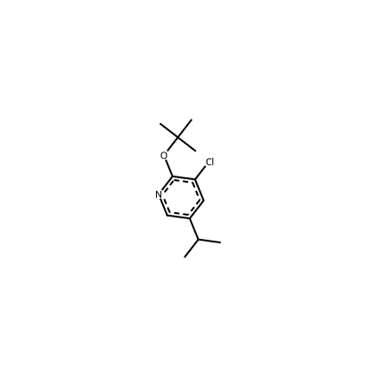 CC(C)c1cnc(OC(C)(C)C)c(Cl)c1